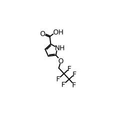 O=C(O)c1ccc(OCC(F)(F)C(F)(F)F)[nH]1